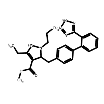 CCCN1NC(CC)=C(C(=O)OC)C1Cc1ccc(-c2ccccc2-c2nn[nH]n2)cc1